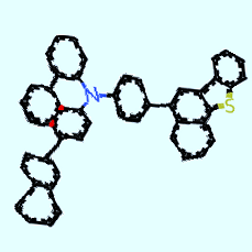 c1ccc(-c2ccccc2N(c2ccc(-c3ccc4ccccc4c3)cc2)c2ccc(-c3cc4c5ccccc5sc4c4ccccc34)cc2)cc1